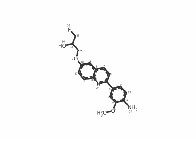 COc1cc(-c2ccc3cc(OCC(O)CF)ccc3n2)ccc1N